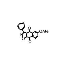 COc1ccc2c(c1)C(=O)c1c(-c3ccccc3)noc1C2=O